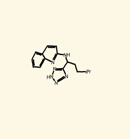 CC(C)CCC(Nc1ccc2ccccc2n1)c1nn[nH]n1